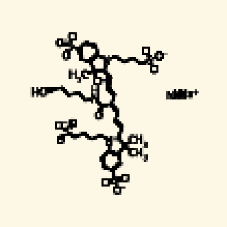 C#CCCCCNC(=O)C(=C\C=C\C1=[N+](CCCCS(=O)(=O)[O-])c2ccc(S(=O)(=O)[O-])cc2C1(C)C)/C=C/C=C1/N(CCCCS(=O)(=O)[O-])c2ccc(S(=O)(=O)[O-])cc2C1(C)C.[Na+].[Na+].[Na+]